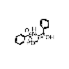 O=S(=O)(N[C@H](CO)[C@@H](O)c1ccccc1)c1ccccc1